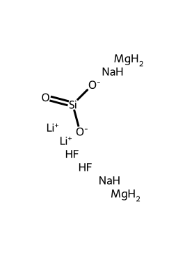 F.F.O=[Si]([O-])[O-].[Li+].[Li+].[MgH2].[MgH2].[NaH].[NaH]